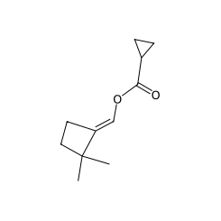 CC1(C)CCC1=COC(=O)C1CC1